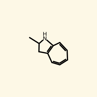 CC1CC2=C(C=CC=C=C2)N1